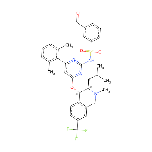 Cc1cccc(C)c1-c1cc(O[C@H]2c3ccc(C(F)(F)F)cc3CN(C)[C@@H]2CC(C)C)nc(NS(=O)(=O)c2cccc(C=O)c2)n1